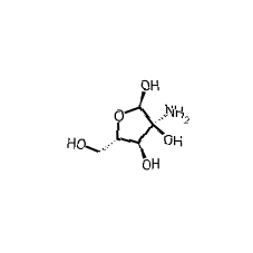 N[C@@]1(O)[C@H](O)O[C@@H](CO)[C@@H]1O